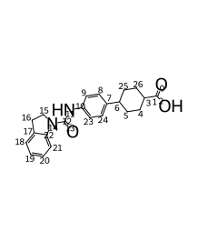 O=C(O)C1CCC(c2ccc(NC(=O)N3CCc4ccccc43)cc2)CC1